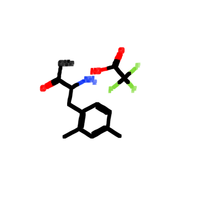 COC(=O)C(N)Cc1ccc(C)cc1C.O=C(O)C(F)(F)F